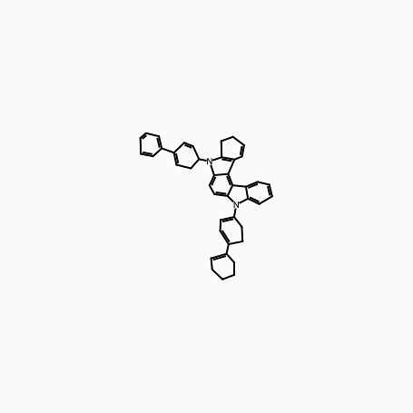 C1=Cc2c(n(C3C=CC(c4ccccc4)=CC3)c3ccc4c(c5ccccc5n4C4=CC=C(C5=CCCCC5)CC4)c23)CC1